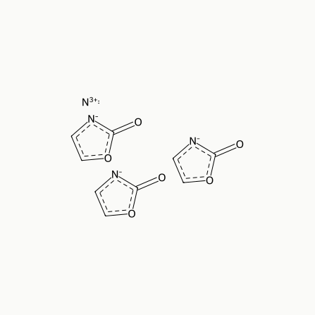 O=c1[n-]cco1.O=c1[n-]cco1.O=c1[n-]cco1.[N+3]